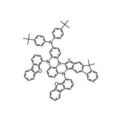 CC(C)(C)c1ccc(N(c2ccc(C(C)(C)C)cc2)c2ccc3c(c2)N(c2cccc4c2oc2ccccc24)c2cccc4c2B3c2sc3cc5c(cc3c2N4c2cccc3c2oc2ccccc23)-c2ccccc2C5(C)C)cc1